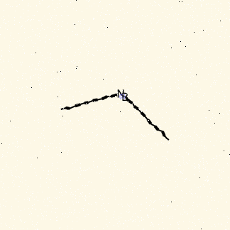 CC#CC#CC#CC#CC#CC#C/B=N/C#CC#CC#CC#CC#CC#CC